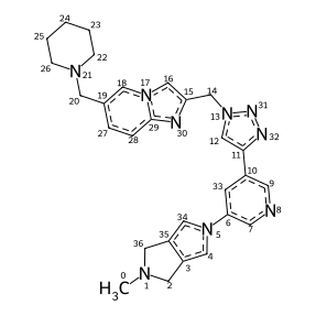 CN1Cc2cn(-c3cncc(-c4cn(Cc5cn6cc(CN7CCCCC7)ccc6n5)nn4)c3)cc2C1